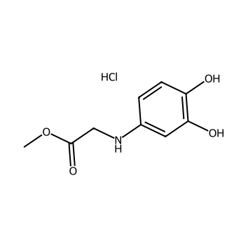 COC(=O)CNc1ccc(O)c(O)c1.Cl